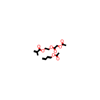 C=C(C)C(=O)OCCOC(=O)COC(C)=O.C=C/C=C/OC(C)=O